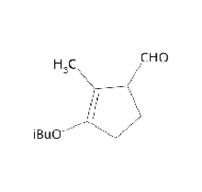 CC1=C(OCC(C)C)CCC1C=O